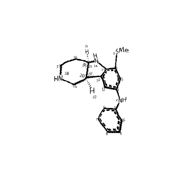 CSc1cc(Nc2ccccc2)cc2c1N[C@@H]1CCNC[C@H]21